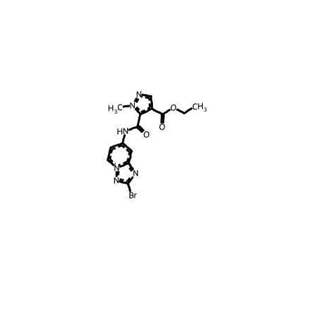 CCOC(=O)c1cnn(C)c1C(=O)Nc1ccn2nc(Br)nc2c1